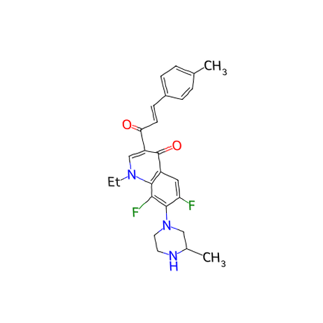 CCn1cc(C(=O)C=Cc2ccc(C)cc2)c(=O)c2cc(F)c(N3CCNC(C)C3)c(F)c21